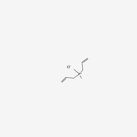 C=CC[P+](C)(C)CC=C.[Cl-]